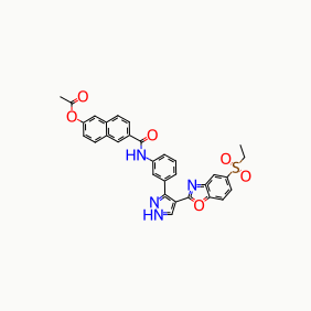 CCS(=O)(=O)c1ccc2oc(-c3c[nH]nc3-c3cccc(NC(=O)c4ccc5cc(OC(C)=O)ccc5c4)c3)nc2c1